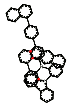 c1ccc(N(c2ccc(-c3ccc(-c4cccc5ccccc45)cc3)cc2)c2ccccc2-n2c3ccccc3c3ccccc32)c(-c2cccc3oc4cc5ccccc5cc4c23)c1